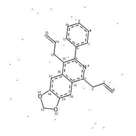 C=CCc1nc(-c2ccccc2)c(CC=C)c2cc3c(cc12)OCO3